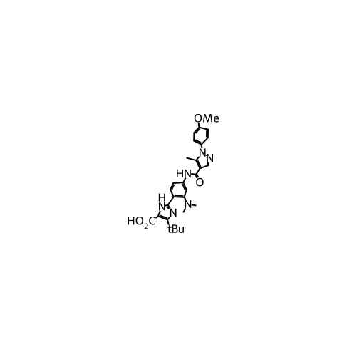 COc1ccc(-n2ncc(C(=O)Nc3ccc(-c4nc(C(C)(C)C)c(C(=O)O)[nH]4)c(N(C)C)c3)c2C)cc1